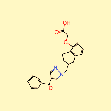 O=C(O)COc1cccc2c1CCC(Cn1cc(C(=O)c3ccccc3)cn1)C2